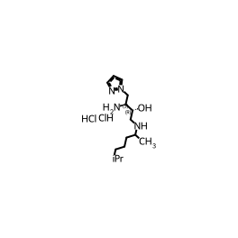 CC(C)CCCC(C)NC[C@@H](O)[C@@H](N)Cn1cccn1.Cl.Cl